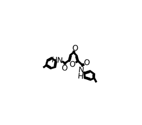 Cc1ccc(NC(=O)c2cc(=O)cc(C(=O)Nc3ccc(C)cc3)o2)cc1